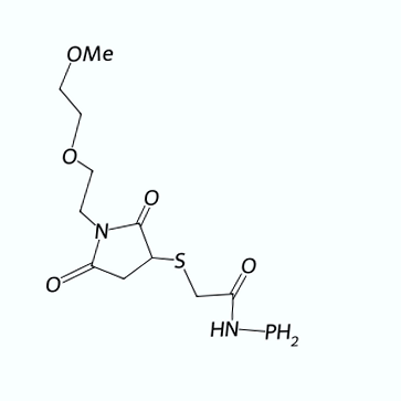 COCCOCCN1C(=O)CC(SCC(=O)NP)C1=O